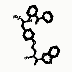 CCCN(CCOc1ccc(CC(Nc2ccccc2C(=O)c2ccccc2)C(=O)O)cc1)C(=O)c1cnc2ccccc2n1